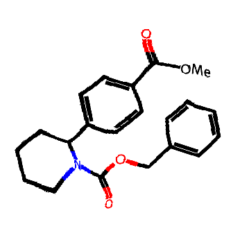 COC(=O)c1ccc(C2CCCCN2C(=O)OCc2ccccc2)cc1